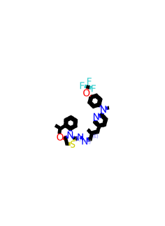 CC(/C=N\N=C1/SCC(=O)N1c1ccccc1C(C)C)=C\c1ccc(N(C)c2ccc(OC(F)(F)F)cc2)nc1